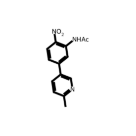 CC(=O)Nc1cc(-c2ccc(C)nc2)ccc1[N+](=O)[O-]